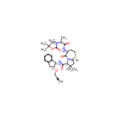 C#CCO[C@@H]1Cc2ccccc2[C@@H]1NC(=O)[C@H]1N2C(=O)[C@@H](NC(=O)[C@H](C)N(C)C(=O)OC(C)(C)C)CCS[C@H]2CC1(C)C